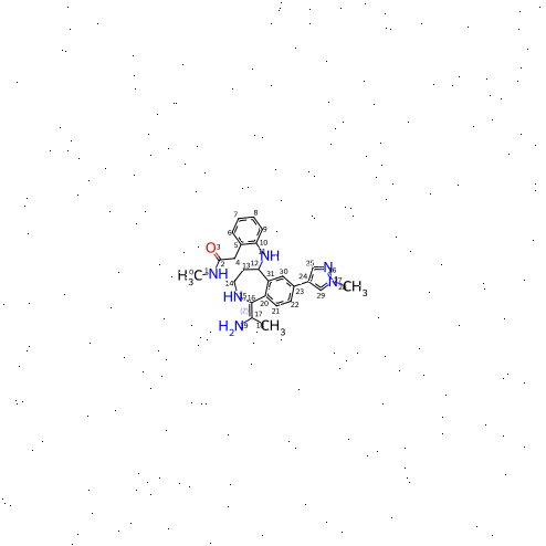 CNC(=O)Cc1ccccc1NC1CCN/C(=C(/C)N)c2ccc(-c3cnn(C)c3)cc21